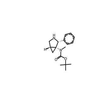 CN(C(=O)OC(C)(C)C)[C@]12C[C@@H]1CN[C@@H]2c1ccccc1